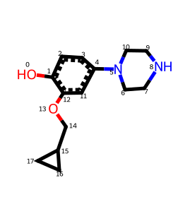 Oc1ccc(N2CCNCC2)cc1OCC1CC1